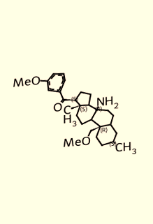 COC[C@]12CC[C@H](C)CC1CC[C@]1(N)C2CC[C@@]2(C)C1CC[C@@H]2C(=O)c1cccc(OC)c1